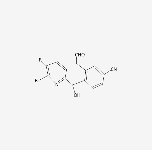 N#Cc1ccc(C(O)c2ccc(F)c(Br)n2)c(CC=O)c1